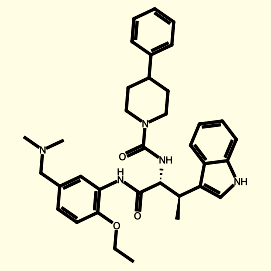 CCOc1ccc(CN(C)C)cc1NC(=O)[C@H](NC(=O)N1CCC(c2ccccc2)CC1)[C@H](C)c1c[nH]c2ccccc12